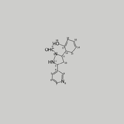 O=CN1NC(c2cccnc2)CC1C1CC=CC=C1O